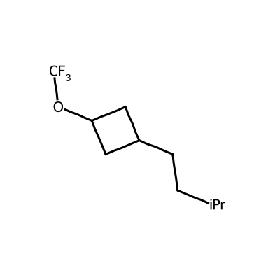 CC(C)CCC1CC(OC(F)(F)F)C1